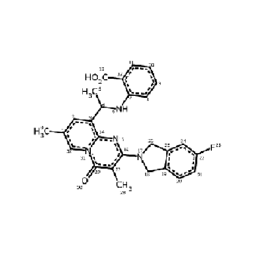 Cc1cc(C(C)Nc2ccccc2C(=O)O)c2nc(N3Cc4ccc(F)cc4C3)c(C)c(=O)n2c1